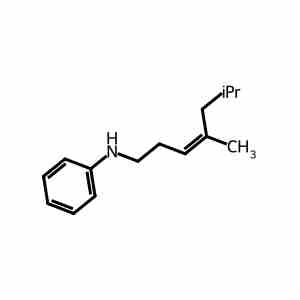 CC(=CCCNc1ccccc1)CC(C)C